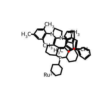 Cc1cc(C)c(N2CCN(c3c(C)cc(C)cc3C)C2=C2CCCC(P(C3CCCCC3)C3CCCCC3)C2=C2C=C(c3ccccc3)c3ccccc32)c(C)c1.[Ru+2]